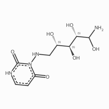 NC(O)[C@@H](O)[C@@H](O)[C@@H](O)CNn1c(=O)cc[nH]c1=O